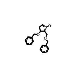 [O-][N+]1=CCC(OCc2ccccc2)C1COCc1ccccc1